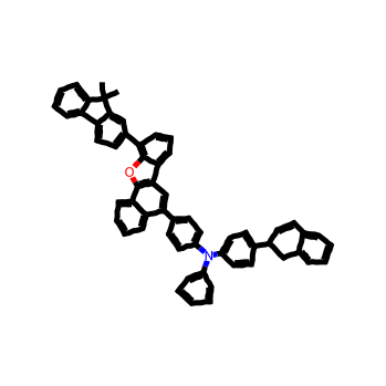 CC1(C)c2ccccc2-c2ccc(-c3cccc4c3oc3c5ccccc5c(-c5ccc(N(c6ccccc6)c6ccc(C7C=Cc8ccccc8C7)cc6)cc5)cc43)cc21